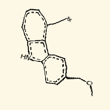 COc1ccc2[nH]c3cccc(Br)c3c2c1